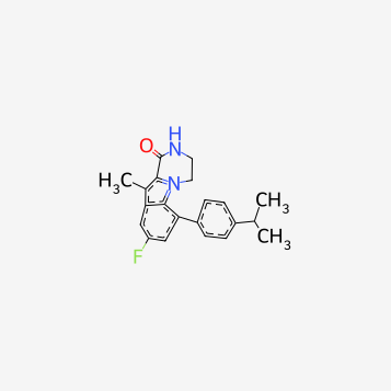 Cc1c2n(c3c(-c4ccc(C(C)C)cc4)cc(F)cc13)CCNC2=O